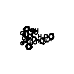 CN1CCCC[C@@H]1CN1CCN(C(=O)CC2=C(C(=O)O)C(c3c(Cl)cccc3Cl)C(C(=O)O)=C(C(=S=O)c3ccccc3)N2)CC1